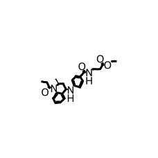 CCOC(=O)CCNC(=O)c1ccc(N[C@@H]2C[C@H](C)N(C(=O)CC)c3ccccc32)cc1